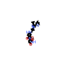 Cc1ccnc(-c2cn([C@H]3C[C@H](CNc4ccc5c(c4)C(=O)N(C4CCC(=O)NC4=O)C5=O)C3)nc2C2CC2)c1